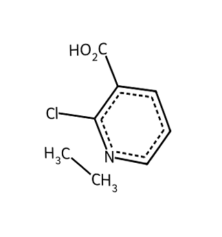 CC.O=C(O)c1cccnc1Cl